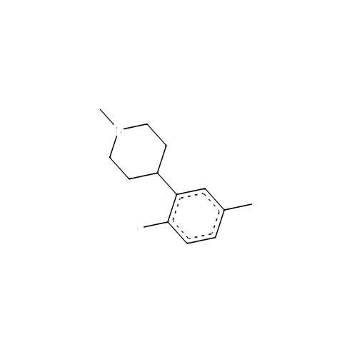 Cc1ccc(F)c(C2CCN(C)CC2)c1